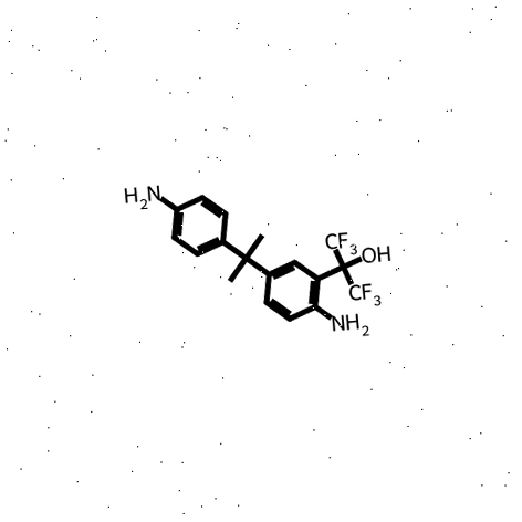 CC(C)(c1ccc(N)cc1)c1ccc(N)c(C(O)(C(F)(F)F)C(F)(F)F)c1